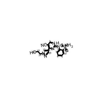 N#Cc1cnc(Nc2ccccc2S(N)(=O)=O)nc1-c1cnn(CCO)c1